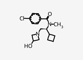 CN(C(=O)c1ccc(Cl)cc1)[C@H](CN1CC(O)C1)C1CCC1